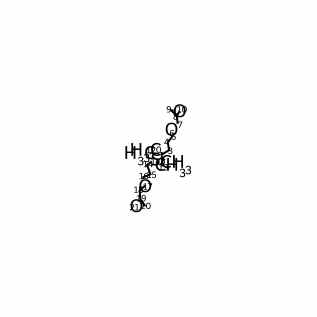 CC(C)(CCCOCC1CO1)[Si](C)(C)CCCOCC1CO1